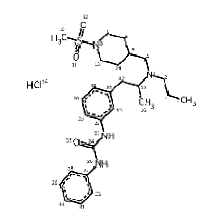 CCCN(CC1CCN(S(C)(=O)=O)CC1)C(C)Cc1cccc(NC(=O)Nc2ccccc2)c1.Cl